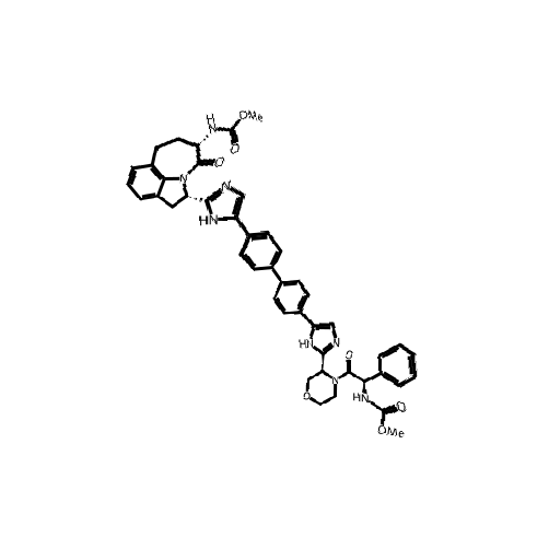 COC(=O)N[C@H]1CCc2cccc3c2N(C1=O)[C@H](c1ncc(-c2ccc(-c4ccc(-c5cnc([C@@H]6COCCN6C(=O)[C@H](NC(=O)OC)c6ccccc6)[nH]5)cc4)cc2)[nH]1)C3